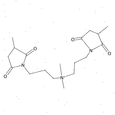 CC1CC(=O)N(CCC[N+](C)(C)CCCN2C(=O)CC(C)C2=O)C1=O